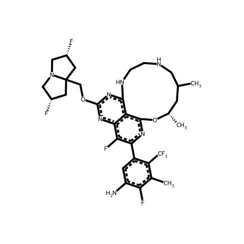 Cc1c(F)c(N)cc(-c2nc3c4c(nc(OCC56C[C@H](F)CN5C[C@H](F)C6)nc4c2F)NCCNCC(C)C[C@H](C)O3)c1C(F)(F)F